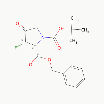 CC(C)(C)OC(=O)N1CC(=O)[C@@H](F)[C@H]1C(=O)OCc1ccccc1